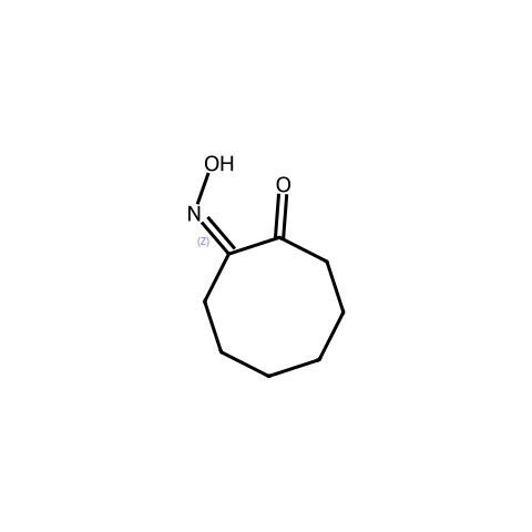 O=C1CCCCCC/C1=N/O